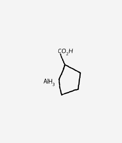 O=C(O)C1CCCC1.[AlH3]